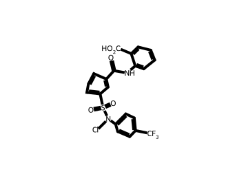 O=C(Nc1ccccc1C(=O)O)c1cccc(S(=O)(=O)N(Cl)c2ccc(C(F)(F)F)cc2)c1